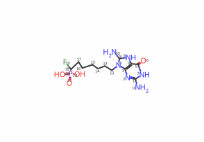 Nc1nc2c(c(=O)[nH]1)NC(N)N2CCCCCCC(F)P(=O)(O)O